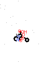 O=C(O)c1cn2c(c(OCc3ccccc3)c1=O)C(=O)N1CCC=C[C@H]2C1